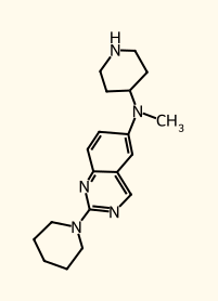 CN(c1ccc2nc(N3CCCCC3)ncc2c1)C1CCNCC1